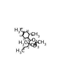 CCCC(C)(C)C(OC(C)=O)C1CC=C(C)C[C@@H]1C